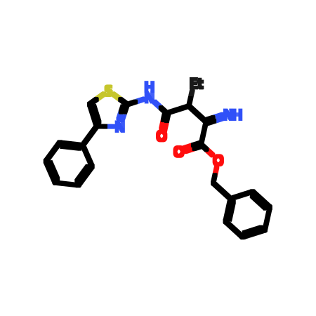 CCC(C(=N)C(=O)OCc1ccccc1)C(=O)Nc1nc(-c2ccccc2)cs1